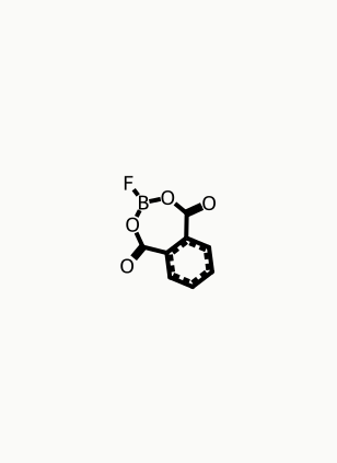 O=C1OB(F)OC(=O)c2ccccc21